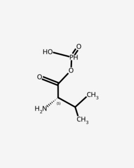 CC(C)[C@H](N)C(=O)O[PH](=O)O